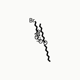 CCCCCCCCOC(CCCCCCC)O[Si](C)(C)O[Si](C)(C)OCCCCBr